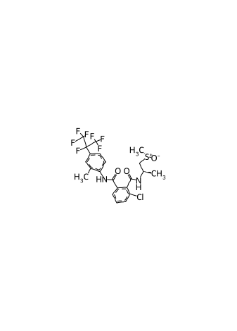 Cc1cc(C(F)(C(F)(F)F)C(F)(F)F)ccc1NC(=O)c1cccc(Cl)c1C(=O)N[C@H](C)C[S@@+](C)[O-]